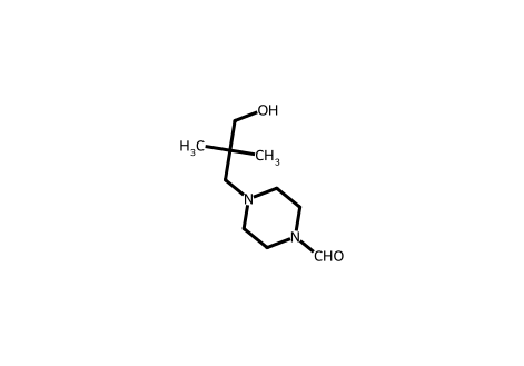 CC(C)(CO)CN1CCN(C=O)CC1